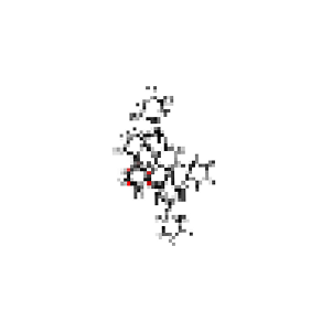 c1ccc(-c2nc(-c3ccccc3)c(-c3ccc4nc(-c5ccccc5)c5cccc(-c6ccccc6)c5c4c3)c(-c3ccccc3)n2)cc1